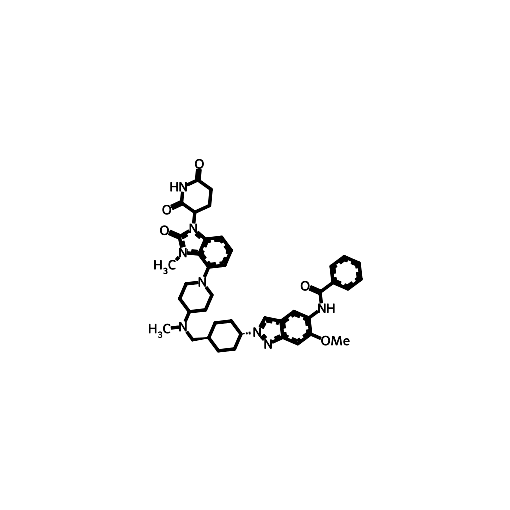 COc1cc2nn([C@H]3CC[C@H](CN(C)C4CCN(c5cccc6c5n(C)c(=O)n6C5CCC(=O)NC5=O)CC4)CC3)cc2cc1NC(=O)c1ccccc1